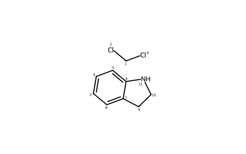 ClCCl.c1ccc2c(c1)CCN2